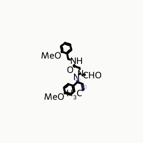 C/C=C\C(=N/N(C=O)CC(=O)NCc1ccccc1OC)c1ccc(OC)cc1